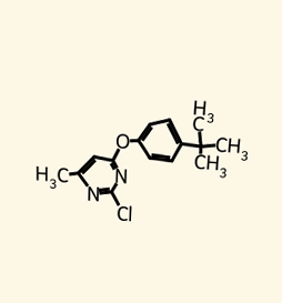 Cc1cc(Oc2ccc(C(C)(C)C)cc2)nc(Cl)n1